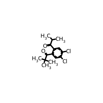 CC(C)C(=O)c1cc(Cl)c(Cl)cc1C(=O)C(C)(C)C